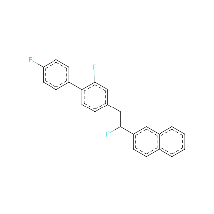 Fc1ccc(-c2ccc(CC(F)c3ccc4ccccc4c3)cc2F)cc1